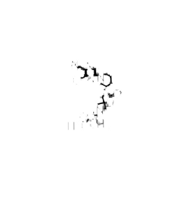 CC(C)(C)OC(=O)N1CC2(C1)CN(C1CCCN(c3cnc(C#N)c(Cl)n3)C1)C(=O)O2